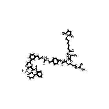 CC(C)[C@H](NC(=O)CCCCCN1C(=O)C=CC1=O)C(=O)N[C@@H](CCCCNC(N)=O)C(=O)Nc1ccc(COC(=O)NCCc2cccc(-c3cnc(N)c(C(=O)Nc4cnccc4N4CCOCC4)n3)c2)cc1